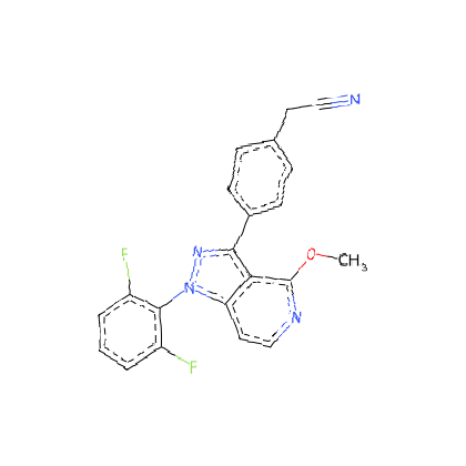 COc1nccc2c1c(-c1ccc(CC#N)cc1)nn2-c1c(F)cccc1F